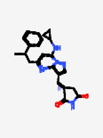 CC(Cc1cc(NC2CC2)n2ncc(/C=C3\CC(=O)NC3=O)c2n1)c1ccccc1